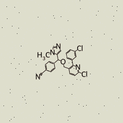 Cn1cncc1C(OCc1ccc(Cl)nc1-c1cccc(Cl)c1)c1ccc(C#N)cc1